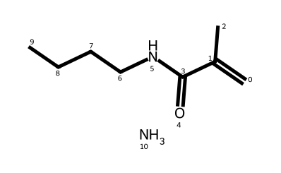 C=C(C)C(=O)NCCCC.N